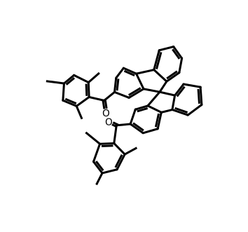 Cc1cc(C)c(C(=O)c2ccc3c(c2)C2(c4ccccc4-3)c3ccccc3-c3ccc(C(=O)c4c(C)cc(C)cc4C)cc32)c(C)c1